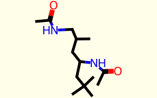 CC(=O)NCC(C)CC(CC(C)(C)C)NC(C)=O